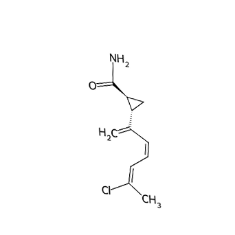 C=C(/C=C\C=C(/C)Cl)[C@H]1C[C@@H]1C(N)=O